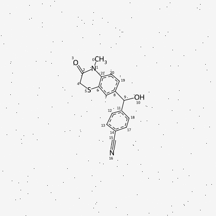 CN1C(=O)CSc2cc(C(O)c3ccc(C#N)cc3)ccc21